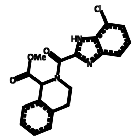 COC(=O)C1c2ccccc2CCN1C(=O)c1nc2cccc(Cl)c2[nH]1